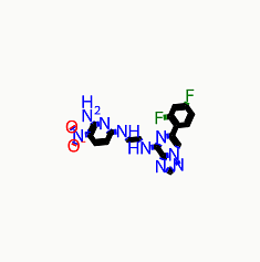 Nc1nc(NCCNc2nc(-c3ccc(F)cc3F)cn3ncnc23)ccc1[N+](=O)[O-]